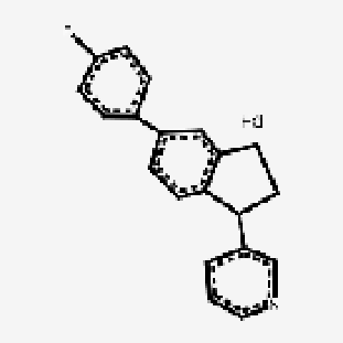 Cl.Fc1ccc(-c2ccc3c(c2)CCC3c2cccnc2)cc1